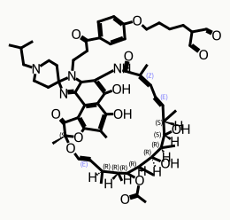 CC(=O)O[C@H]1[C@H](C)[C@H](O)[C@H](C)[C@@H](O)[C@@H](C)/C=C/C=C(/C)C(=O)NC2=C(O)c3c(O)c(C)c4c(c3C3=NC5(CCN(CC(C)C)CC5)N(CCC(=O)c5ccc(OCCCCC(C=O)C=O)cc5)C32)C(=O)[C@@](C)(O/C=C/[C@H](C)[C@H]1C)O4